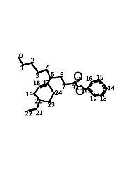 CCCCCC(CCC(=O)Oc1ccccc1)C1=CCC(CC)CC1